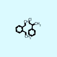 C=C(CCl)c1ccccc1.C=Cc1ccccc1C=C